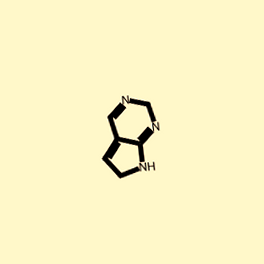 C1=NCN=C2NCC=C12